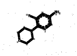 Nc1cnc(C2CCOCC2)c(F)c1